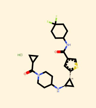 Cl.O=C(NC1CCC(F)(F)CC1)c1csc([C@@H]2C[C@H]2NC2CCN(C(=O)C3CC3)CC2)c1